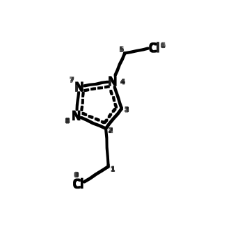 ClCc1cn(CCl)nn1